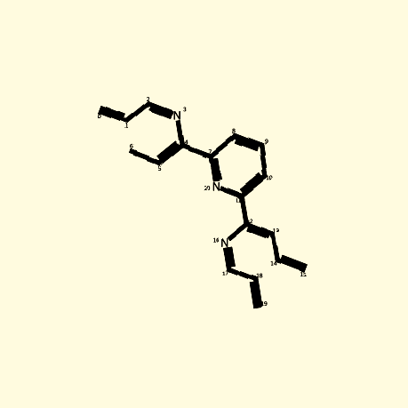 C=C/C=N\C(=C/C)c1cccc(C(=C/C=C)/N=C\C=C)n1